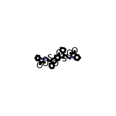 O=C1C(=O)c2ccccc2/C1=C/c1cc2c(s1)-c1cc3c(cc1OC21CCCCC1)-c1sc(/C=C2\C(=O)C(=O)c4ccccc42)cc1C1(CCCCC1)O3